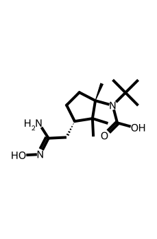 CC(C)(C)N(C(=O)O)[C@@]1(C)CC[C@@H](C/C(N)=N/O)C1(C)C